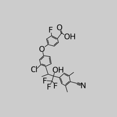 Cc1cc(C(O)(C(C)c2ccc(Oc3ccc(C(=O)O)c(F)c3)cc2Cl)C(F)(F)F)cc(C)c1C#N